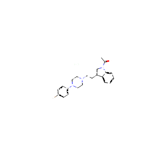 CC(=O)N1CC(CCN2CCN(c3ccc(Br)cc3)CC2)c2ccccc21.Cl